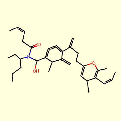 C=C(CCC1=CC(C)C(/C=C\C)=C(C)O1)C1=C=C=C(C(O)N(C(=O)C/C=C\C)C(CC)CCC)C(C)C1=C